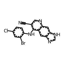 N#Cc1cnc2cc3[nH]cnc3cc2c1Nc1ccc(Cl)cc1Br